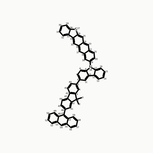 CC1(C)c2cc(-c3ccc4c(c3)c3ccccc3n4-c3ccc4cc5cc6sc7ccccc7c6cc5cc4c3)ccc2-c2ccc(-c3c4ccccc4cc4ccccc34)cc21